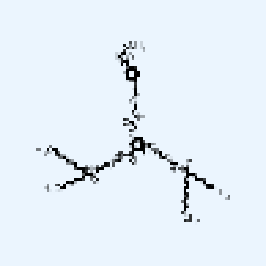 CCCCCCCCC(CCCCCC)C(=O)NCCOCCNC(=O)c1cc(OCC(=O)NCCOCCOc2ccc(-c3nnc(SC)o3)cc2)cc(C(=O)NCCOCCNC(=O)C(CCCCCC)CCCCCCCC)c1